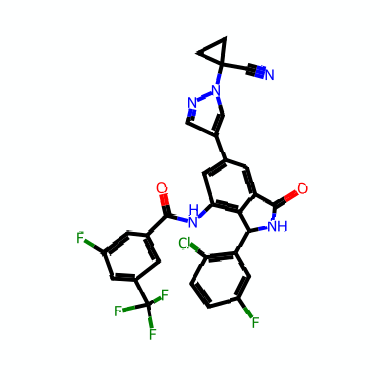 N#CC1(n2cc(-c3cc(NC(=O)c4cc(F)cc(C(F)(F)F)c4)c4c(c3)C(=O)NC4c3cc(F)ccc3Cl)cn2)CC1